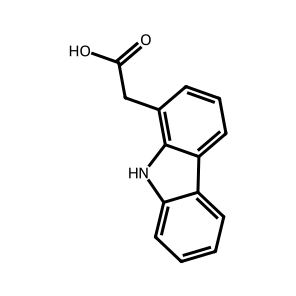 O=C(O)Cc1cccc2c1[nH]c1ccccc12